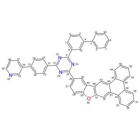 c1ccc(-c2cccc(-c3nc(-c4ccc(-c5cccnc5)cc4)nc(-c4ccc5oc6cc7c8ccccc8c8ccccc8c7cc6c5c4)n3)c2)cc1